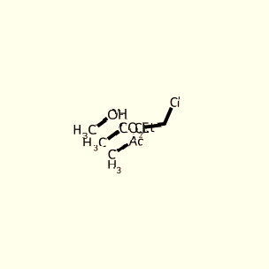 CC(C)=O.CCOC(C)=O.CO.ClCCl